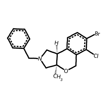 C[C@]12CN(Cc3ccccc3)C[C@H]1c1ccc(Br)c(Cl)c1CO2